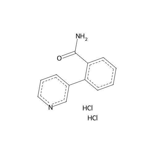 Cl.Cl.NC(=O)c1ccccc1-c1cccnc1